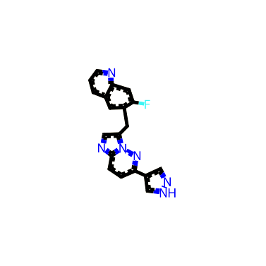 Fc1cc2ncccc2cc1Cc1cnc2ccc(-c3cn[nH]c3)nn12